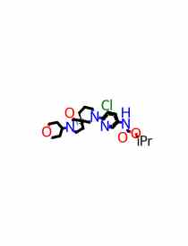 CC(C)OC(=O)Nc1cnc(N2CCC[C@]3(CCN(C4CCOCC4)C3=O)C2)c(Cl)c1